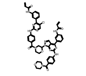 C=CC(=O)Nc1cccc(-c2nc(Nc3ccc(C(=O)N4CCOC(n5ncc6c(-c7cccc(NC(=O)C=C)c7)nc(Nc7ccc(C(=O)N8CCOCC8)cc7)nc65)C4)cc3)ncc2Cl)c1